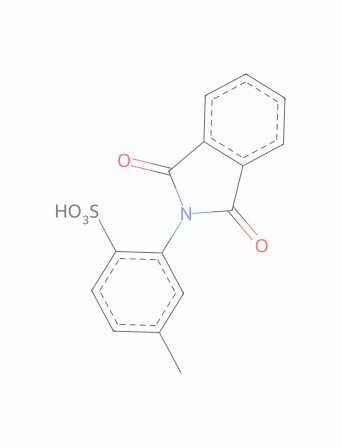 Cc1ccc(S(=O)(=O)O)c(N2C(=O)c3ccccc3C2=O)c1